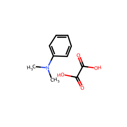 CN(C)c1ccccc1.O=C(O)C(=O)O